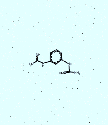 N=C(N)Nc1[c]ccc(NC(=N)N)c1